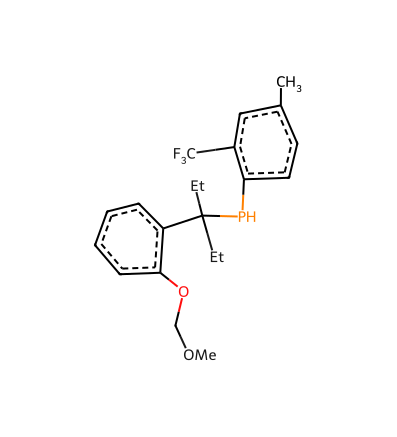 CCC(CC)(Pc1ccc(C)cc1C(F)(F)F)c1ccccc1OCOC